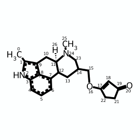 Cc1[nH]c2cccc3c2c1C[C@@H]1C3CC(COC2=CC(=O)CC2)CN1C